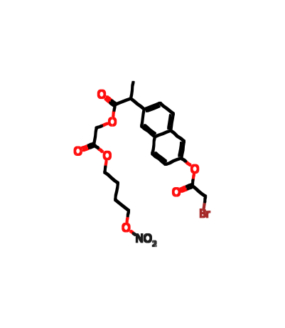 CC(C(=O)OCC(=O)OCCCCO[N+](=O)[O-])c1ccc2cc(OC(=O)CBr)ccc2c1